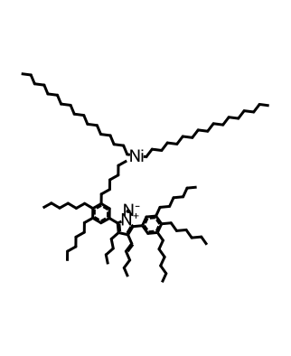 CCCC=CC1=C(c2cc(CCCCCC)c(CCCCCC)c(CCCCCC)c2)[N+](=[N-])C(c2cc(CCCCCC)c(CCCCCC)c(CCCCCC)c2)=C1CCCC.CCCCCCCCCCCCCCCC[CH2][Ni][CH2]CCCCCCCCCCCCCCCC